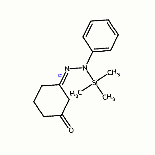 C[Si](C)(C)N(/N=C1/CCCC(=O)C1)c1ccccc1